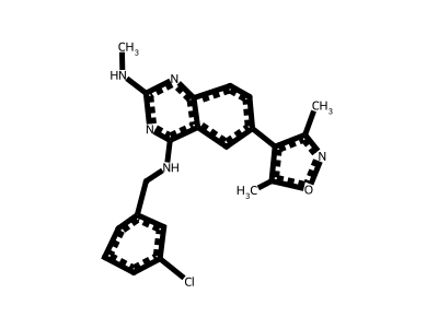 CNc1nc(NCc2cccc(Cl)c2)c2cc(-c3c(C)noc3C)ccc2n1